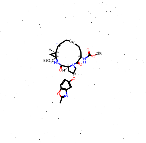 CCOC(=O)[C@@]12C[C@H]1/C=C\CCCCC[C@H](NC(=O)OC(C)(C)C)C(=O)N1C[C@H](Oc3ccc4oc(C)nc4c3)C[C@H]1C(=O)N2